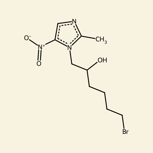 Cc1ncc([N+](=O)[O-])n1CC(O)CCCCBr